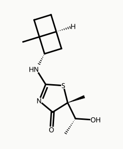 C[C@@H](O)[C@@]1(C)SC(N[C@H]2C[C@@H]3CCC32C)=NC1=O